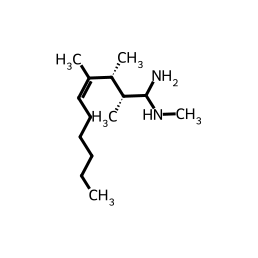 CCCCC/C=C(/C)[C@H](C)[C@@H](C)C(N)NC